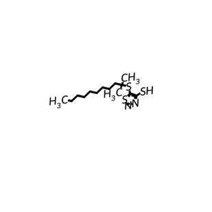 CCCCCCCCCC(C)(C)Sc1snnc1S